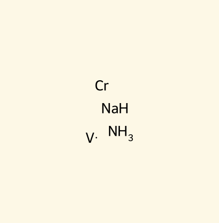 N.[Cr].[NaH].[V]